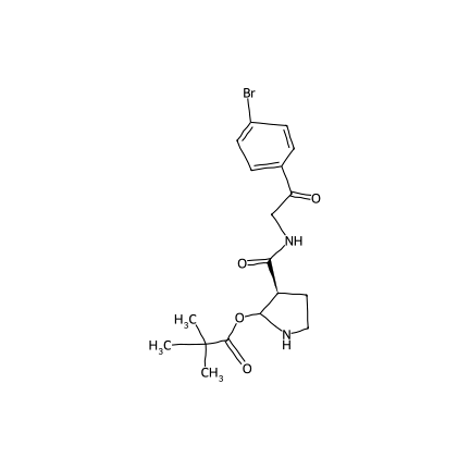 CC(C)(C)C(=O)OC1NCC[C@@H]1C(=O)NCC(=O)c1ccc(Br)cc1